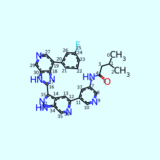 CC(C)CC(=O)Nc1cncc(-c2cc3c(-c4nc5c(-c6cccc(F)c6)cncc5[nH]4)n[nH]c3cn2)c1